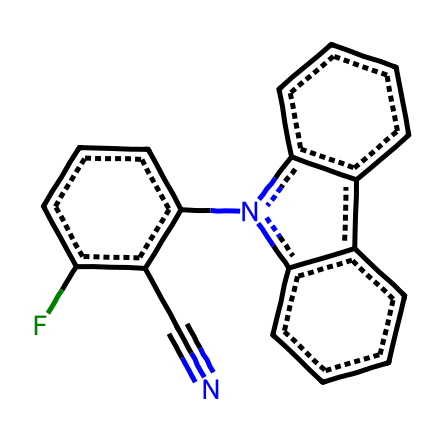 N#Cc1c(F)cccc1-n1c2ccccc2c2ccccc21